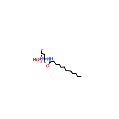 CCCCCCCCCCCC(=O)NC(C)(CCC)[N+](C)(C)O